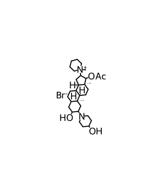 CC(=O)OC1C([N+]2(C)CCCCC2)C[C@H]2[C@@H]3CCC4CC(O)C(N5CCC(O)CC5)C[C@]4(C)[C@@H]3CC[C@]12C.[Br-]